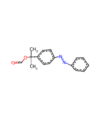 CC(C)(OC=O)c1ccc(N=Nc2ccccc2)cc1